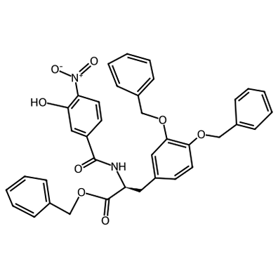 O=C(N[C@@H](Cc1ccc(OCc2ccccc2)c(OCc2ccccc2)c1)C(=O)OCc1ccccc1)c1ccc([N+](=O)[O-])c(O)c1